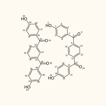 O=C(c1ccc(O)cc1)c1ccc(C(=O)c2ccc(O)cc2)cc1.O=C(c1ccc(O)cc1)c1cccc(C(=O)c2ccc(O)cc2)c1